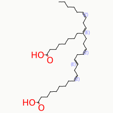 CCCCC/C=C\C/C=C(/CC/C=C\C/C=C/C/C=C\CCCCCCCC(=O)O)CCCCCCCC(=O)O